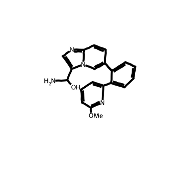 COc1cccc(-c2ccccc2-c2ccc3ncc(C(N)O)n3c2)n1